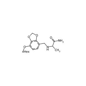 CCCCCCOc1ccc(CNC(C)C(N)=O)c2c1OCO2